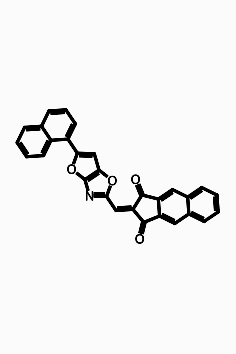 O=C1C(=Cc2nc3oc(-c4cccc5ccccc45)cc3o2)C(=O)c2cc3ccccc3cc21